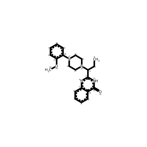 CCC(c1nc2ccccc2c(=O)[nH]1)N1CCN(c2ccccc2OC)CC1